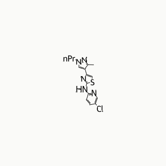 CCCn1cc(-c2csc(Nc3ccc(Cl)cn3)n2)c(C)n1